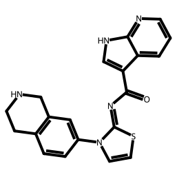 O=C(N=c1sccn1-c1ccc2c(c1)CNCC2)c1c[nH]c2ncccc12